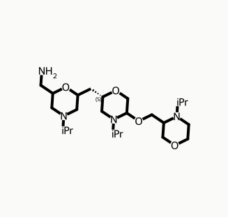 CC(C)N1CC(CN)OC(C[C@H]2CN(C(C)C)C(OCC3COCCN3C(C)C)CO2)C1